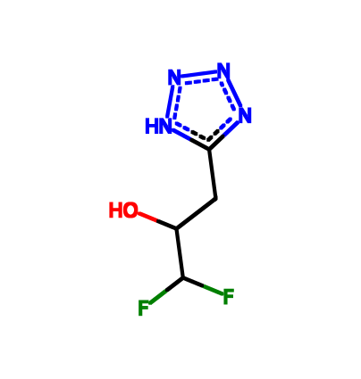 OC(Cc1nnn[nH]1)C(F)F